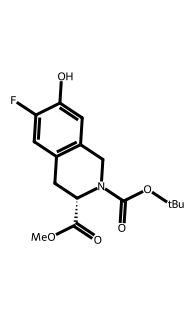 COC(=O)[C@@H]1Cc2cc(F)c(O)cc2CN1C(=O)OC(C)(C)C